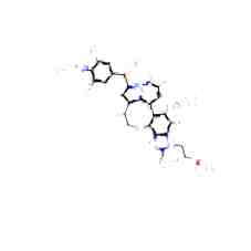 COCCn1c(C)nc2c3c(c(OC)cc21)-c1cccn2c(C(=O)c4cc(F)c(N)c(F)c4)cc(c12)CCS3